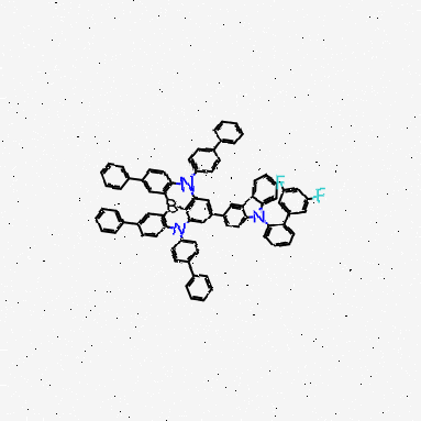 Fc1cc(F)cc(-c2ccccc2-n2c3ccccc3c3cc(-c4cc5c6c(c4)N(c4ccc(-c7ccccc7)cc4)c4ccc(-c7ccccc7)cc4B6c4cc(-c6ccccc6)ccc4N5c4ccc(-c5ccccc5)cc4)ccc32)c1